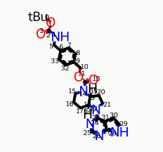 CC(C)(C)OC(=O)NCc1ccc(COC(=O)N2CCC[C@@H]3[C@H]2CCN3c2ncnc3[nH]ccc23)cc1